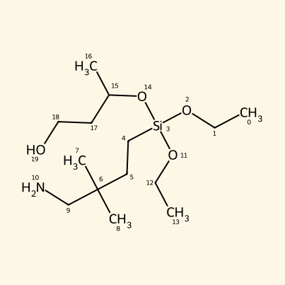 CCO[Si](CCC(C)(C)CN)(OCC)OC(C)CCO